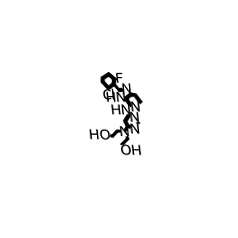 OCCN(CCO)c1cc(Nc2nccc3nc(-c4c(F)cccc4Cl)[nH]c23)ncn1